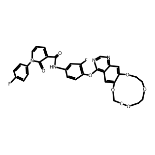 O=C(Nc1ccc(Oc2ncnc3cc4c(cc23)OCCOCCOCCO4)c(F)c1)c1cccn(-c2ccc(F)cc2)c1=O